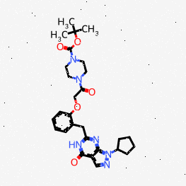 CC(C)(C)OC(=O)N1CCN(C(=O)COc2ccccc2Cc2nc3c(cnn3C3CCCC3)c(=O)[nH]2)CC1